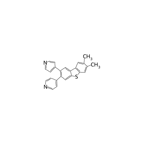 Cc1cc2sc3cc(-c4ccncc4)c(-c4ccncc4)cc3c2cc1C